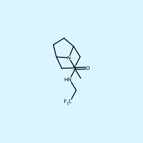 CN1CC2CCC(C1)N2C(=O)NCC(F)(F)F